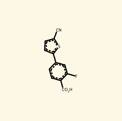 N#Cc1ccc(-c2ccc(C(=O)O)c(F)c2)s1